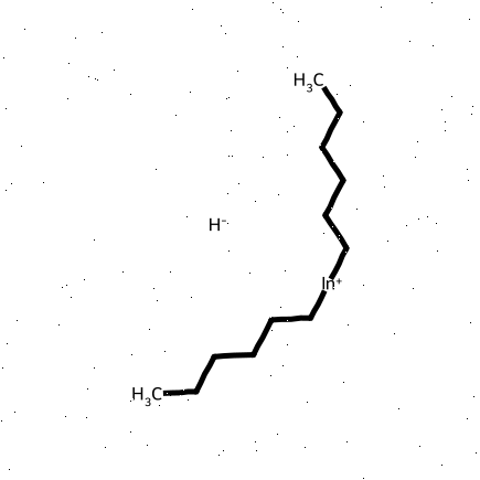 CCCCC[CH2][In+][CH2]CCCCC.[H-]